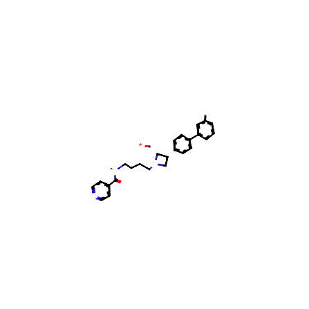 COC[C@@H]1[C@H](c2ccc(-c3cccc(C)c3)cc2)CN1CCCCN(C)C(=O)c1ccncc1